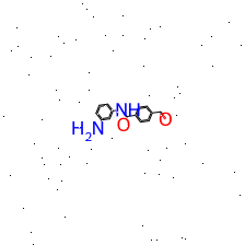 Nc1cccc(NC(=O)c2ccc(C=O)cc2)c1